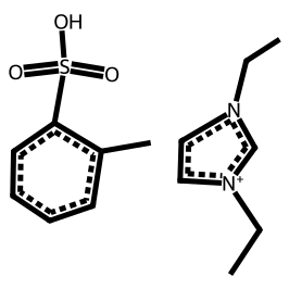 CCn1cc[n+](CC)c1.Cc1ccccc1S(=O)(=O)O